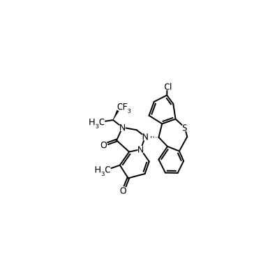 Cc1c2n(ccc1=O)N([C@H]1c3ccccc3CSc3cc(Cl)ccc31)CN([C@@H](C)C(F)(F)F)C2=O